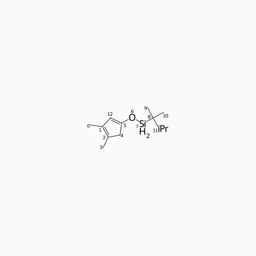 CC1=C(C)CC(O[SiH2]C(C)(C)C(C)C)=C1